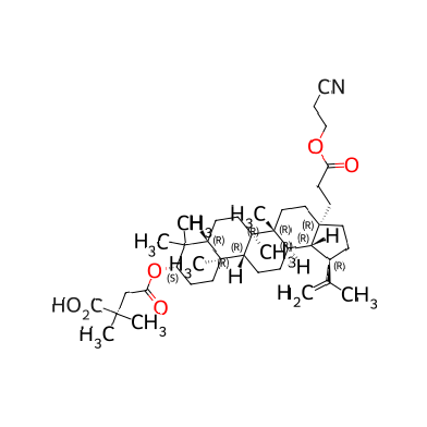 C=C(C)[C@@H]1CC[C@]2(CCC(=O)OCCC#N)CC[C@]3(C)[C@H](CC[C@@H]4[C@@]5(C)CC[C@H](OC(=O)CC(C)(C)C(=O)O)C(C)(C)[C@@H]5CC[C@]43C)[C@@H]12